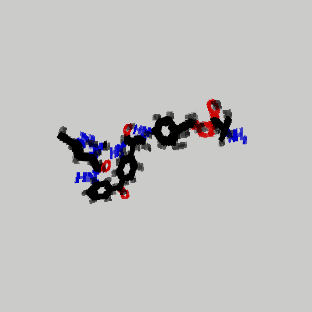 Cc1cc(C(=O)Nc2cccc(C(=O)c3ccc4c(c3)NC(=O)/C4=C\Nc3ccc(COC(=O)C(C)(C)N)cc3)c2)n(C)n1